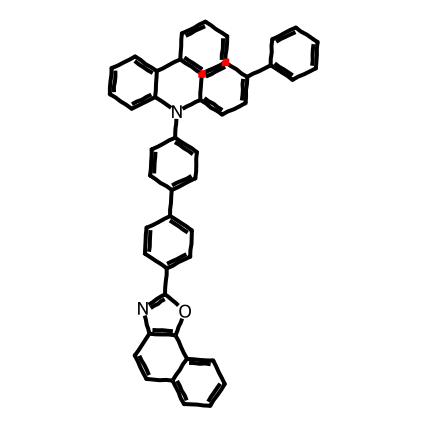 c1ccc(-c2ccc(N(c3ccc(-c4ccc(-c5nc6ccc7ccccc7c6o5)cc4)cc3)c3ccccc3-c3ccccc3)cc2)cc1